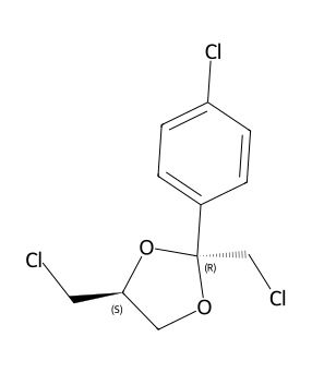 ClC[C@@H]1CO[C@](CCl)(c2ccc(Cl)cc2)O1